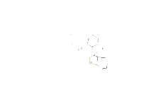 COCCCCC(C)(O)c1cccc(Cl)c1-c1csc2ccccc12